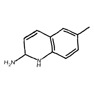 Cc1ccc2c(c1)C=CC(N)N2